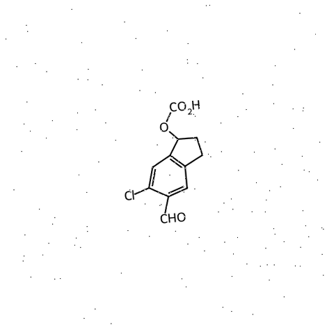 O=Cc1cc2c(cc1Cl)C(OC(=O)O)CC2